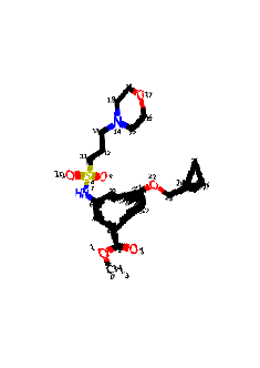 COC(=O)c1cc(NS(=O)(=O)CCCN2CCOCC2)cc(OCC2CC2)c1